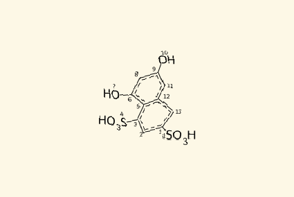 O=S(=O)(O)c1cc(S(=O)(=O)O)c2c(O)cc(O)cc2c1